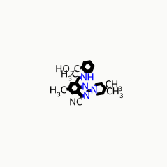 Cc1cc(C(C)Nc2ccccc2C(=O)O)c2nc(N3CCC(C)(C)CC3)nc(C#N)c2c1